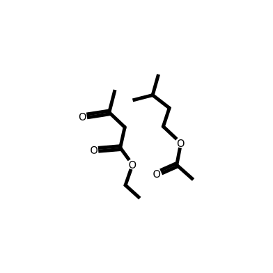 CC(=O)OCCC(C)C.CCOC(=O)CC(C)=O